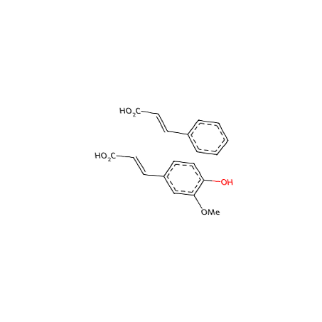 COc1cc(C=CC(=O)O)ccc1O.O=C(O)C=Cc1ccccc1